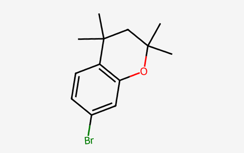 CC1(C)CC(C)(C)c2ccc(Br)cc2O1